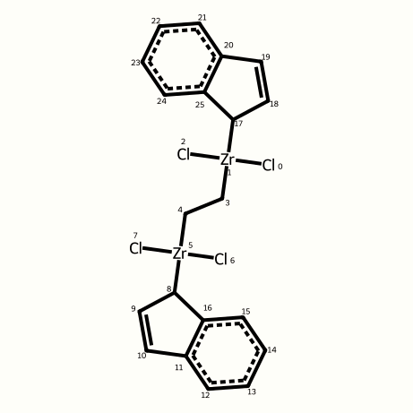 [Cl][Zr]([Cl])([CH2][CH2][Zr]([Cl])([Cl])[CH]1C=Cc2ccccc21)[CH]1C=Cc2ccccc21